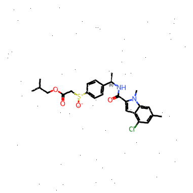 Cc1cc(Cl)c2cc(C(=O)N[C@H](C)c3ccc([S+]([O-])CC(=O)OCC(C)C)cc3)n(C)c2c1